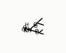 CCCCCCCCC(CCCCCCCC)CCOC(=O)CCCCCCCN(CCCCCCCC(=O)OCCC(CCCCC)CCCCC)CCCNc1c(NC)c(=O)c1=O